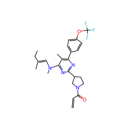 C=CC(=O)N1CCC(c2nc(-c3ccc(OC(F)(F)F)cc3)c(C)c(N(C)/C=C(\C)CC)n2)C1